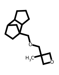 CC1(COCC23CCC(C2)C2CCCC23)COC1